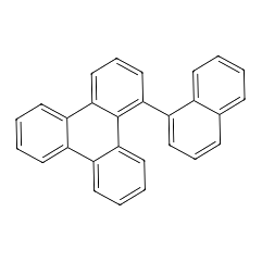 c1ccc2c(-c3cccc4c5ccccc5c5ccccc5c34)cccc2c1